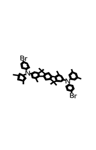 Cc1cc(C)cc(N(c2ccc(Br)cc2)c2cc(C)c3c(c2)C(C)(C)c2cc4c(cc2-3)C(C)(C)c2cc(N(c3ccc(Br)cc3)c3cc(C)cc(C)c3)cc(C)c2-4)c1